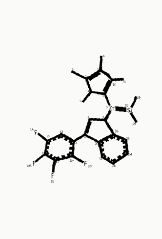 CC1=C(C)C(C)[C]([Zr]([CH]2C=C(c3cc(F)c(F)c(F)c3F)c3ccccc32)=[Si](C)C)=C1C